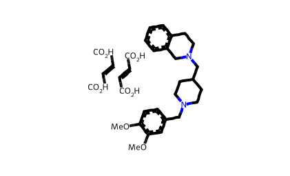 COc1ccc(CN2CCC(CN3CCc4ccccc4C3)CC2)cc1OC.O=C(O)/C=C/C(=O)O.O=C(O)/C=C/C(=O)O